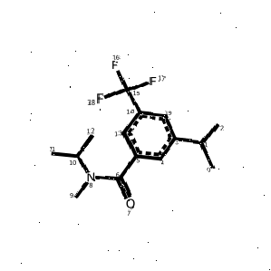 CC(C)c1cc(C(=O)N(C)C(C)C)cc(C(F)(F)F)c1